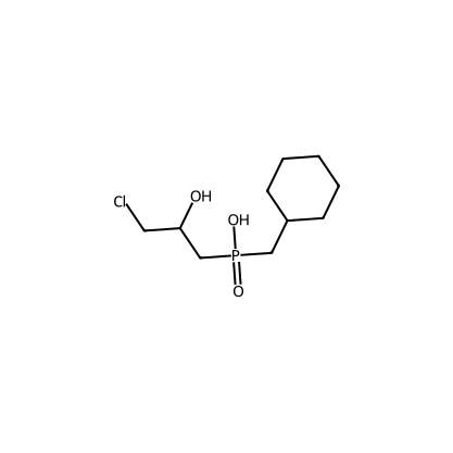 O=P(O)(CC(O)CCl)CC1CCCCC1